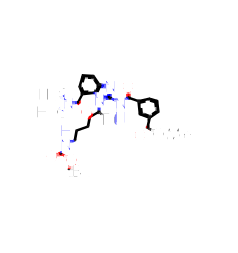 CCC(CCCCNC(=O)OC(C)(C)C)n1c(NC(=O)c2cccc(C(=O)OC)c2)nc2cccc(C(=O)N(C)C)c21